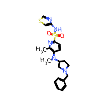 Cc1nc(S(=O)(=O)Nc2cscn2)ccc1N(C)C1CCN(Cc2ccccc2)C1